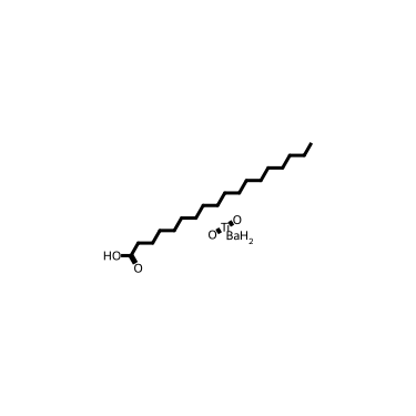 CCCCCCCCCCCCCCCCCC(=O)O.[BaH2].[O]=[Ti]=[O]